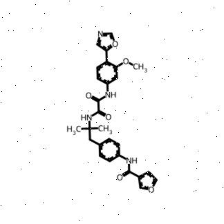 COc1cc(NC(=O)C(=O)NC(C)(C)Cc2ccc(NC(=O)c3ccoc3)cc2)ccc1-c1cnco1